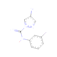 N=C(N(O)c1cccc(I)c1)n1cc(N)cn1